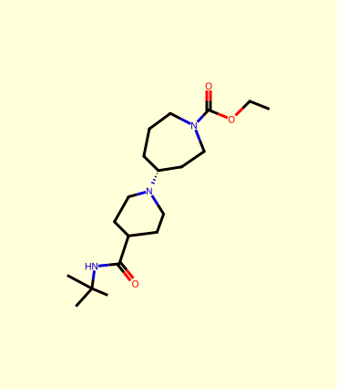 CCOC(=O)N1CCC[C@@H](N2CCC(C(=O)NC(C)(C)C)CC2)CC1